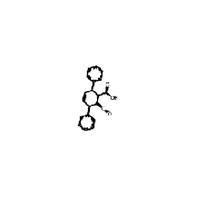 O=C=C1C(c2ccccc2)C=CC(c2ccccc2)C1C(=O)O